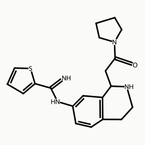 N=C(Nc1ccc2c(c1)C(CC(=O)N1CCCC1)NCC2)c1cccs1